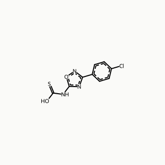 OC(=S)Nc1nc(-c2ccc(Cl)cc2)no1